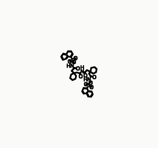 O=C(CC1(CC(=O)NC(=O)CC2(CC(=O)NOS(=O)(=O)c3cccc4ccccc34)CCCCC2)CCCCC1)NOS(=O)(=O)c1cccc2ccccc12